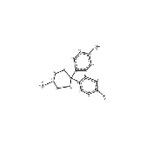 Oc1ccc(C2(c3ccc(F)cc3)CCC(C(F)(F)F)CC2)cc1